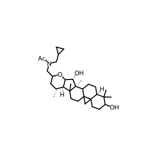 CC(=O)N(CC1CC1)CC1C[C@@H](C)[C@H]2C(O1)[C@H](O)[C@@]1(C)C3CC[C@H]4C(C)(C)C(O)CCC45CC35CCC21C